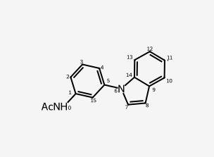 CC(=O)Nc1cccc(-n2ccc3c[c]ccc32)c1